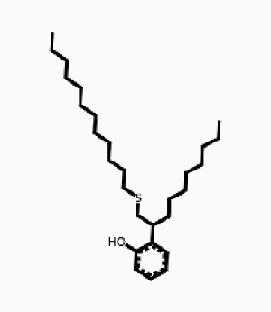 CCCCCCCCCCCCSCC(CCCCCCCC)c1ccccc1O